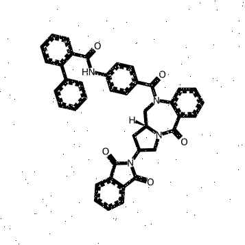 O=C(Nc1ccc(C(=O)N2C[C@H]3CC(N4C(=O)c5ccccc5C4=O)CN3C(=O)c3ccccc32)cc1)c1ccccc1-c1ccccc1